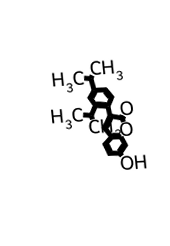 CC(C)c1ccc(-c2cc3ccc(O)cc3oc2=O)c(C(C)C)c1